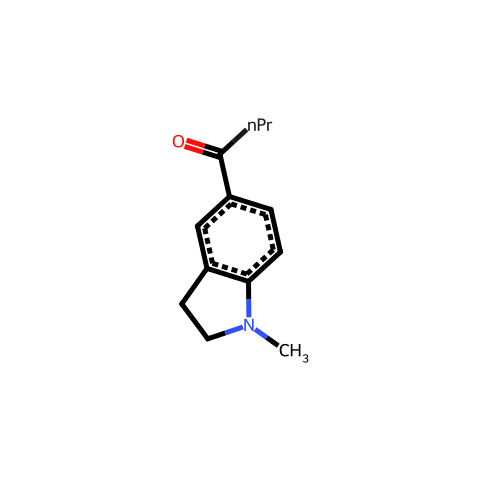 CCCC(=O)c1ccc2c(c1)CCN2C